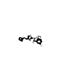 O=C(Nc1nc(CCC2CCC2)cs1)c1cc(Cl)ccc1O